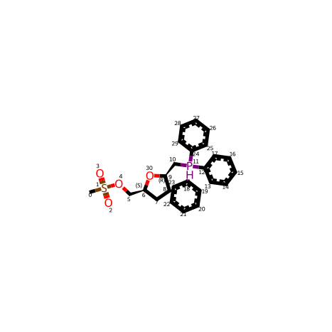 CS(=O)(=O)OC[C@@H]1CC[C@H](C[PH](c2ccccc2)(c2ccccc2)c2ccccc2)O1